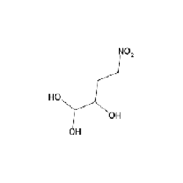 O=[N+]([O-])CCC(O)C(O)O